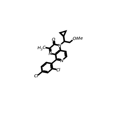 COCC(C1CC1)n1c(=O)c(C)nc2c(-c3ccc(Cl)cc3Cl)nccc21